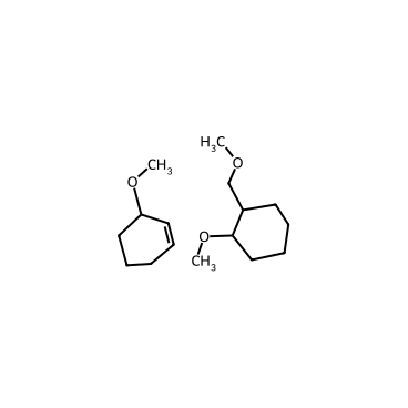 COC1C=CCCC1.COCC1CCCCC1OC